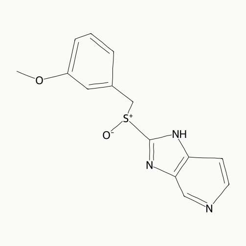 COc1cccc(C[S+]([O-])c2nc3cnccc3[nH]2)c1